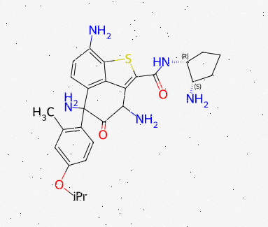 Cc1cc(OC(C)C)ccc1C1(N)C(=O)C(N)c2c(C(=O)N[C@@H]3CCC[C@@H]3N)sc3c(N)ccc1c23